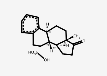 C[C@]12CC[C@@H]3c4ccccc4CC[C@H]3[C@@H]1CCC2=O.O=S(=O)(O)O